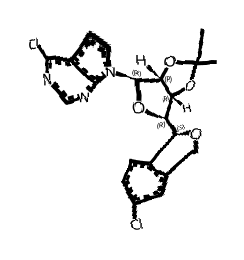 CC1(C)O[C@H]2[C@@H](O1)[C@H](n1ccc3c(Cl)ncnc31)O[C@@H]2[C@H]1OCc2cc(Cl)ccc21